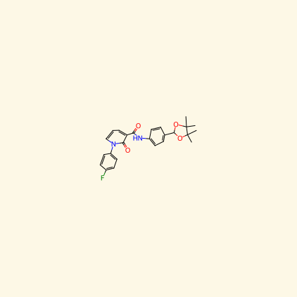 CC1(C)OC(c2ccc(NC(=O)c3cccn(-c4ccc(F)cc4)c3=O)cc2)OC1(C)C